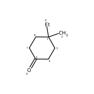 [CH2]CC1(C)CCC(=O)CC1